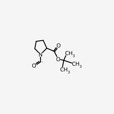 CC(C)(C)OC(=O)C1CCCN1[C]=O